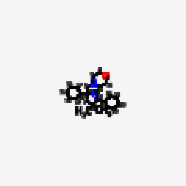 CC1(C)CC(CN2CCOCC2)(c2ccccc2)N=C1c1ccccc1